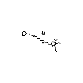 Br.Br.CCCc1cc(CCNCCCCCCNCCc2ccccc2)cc(O)c1O